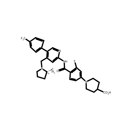 C[C@@H]1CCCN1Cc1cc(NC(=O)c2ccc(N3CCC(C(=O)O)CC3)cc2F)ncc1-c1ccc(C(F)(F)F)cc1